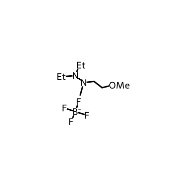 CCN(CC)N(C)CCOC.F[B-](F)(F)F